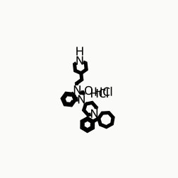 Cl.Cl.O=c1n(CCC2CCNCC2)c2ccccc2n1C1CCN(C2(c3ccccc3)CCCCCC2)CC1